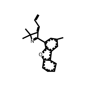 C=C/C=C1/C(c2cc(C)cc3c2oc2ccccc23)=NC1(C)C